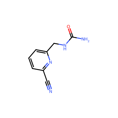 N#Cc1cccc(CNC(N)=O)n1